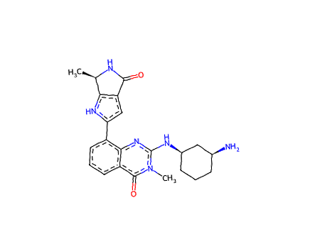 C[C@H]1NC(=O)c2cc(-c3cccc4c(=O)n(C)c(N[C@@H]5CCC[C@H](N)C5)nc34)[nH]c21